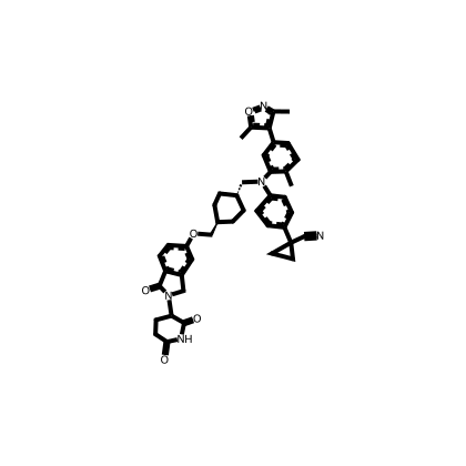 Cc1ccc(-c2c(C)noc2C)cc1N(C[C@H]1CC[C@H](COc2ccc3c(c2)CN(C2CCC(=O)NC2=O)C3=O)CC1)c1ccc(C2(C#N)CC2)cc1